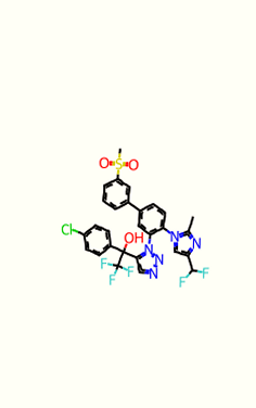 Cc1nc(C(F)F)cn1-c1ccc(-c2cccc(S(C)(=O)=O)c2)cc1-n1nncc1C(O)(c1ccc(Cl)cc1)C(F)(F)F